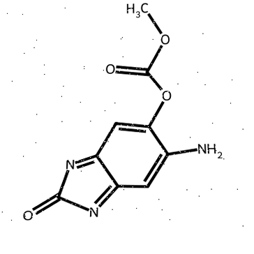 COC(=O)Oc1cc2c(cc1N)=NC(=O)N=2